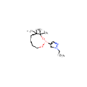 CC1(C)CCCCOB(c2cnn(CC(=O)O)c2)OC1(C)C